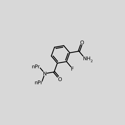 CCCN(CCC)C(=O)c1cccc(C(N)=O)c1F